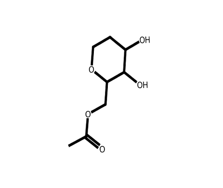 CC(=O)OCC1OCCC(O)C1O